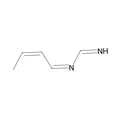 C/C=C\C=N/C=N